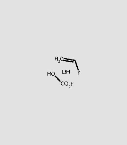 C=CF.O=C(O)O.[LiH]